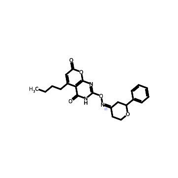 CCCCc1cc(=O)oc2nc(O/N=C3/CCOC(c4ccccc4)C3)[nH]c(=O)c12